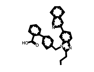 CCCc1nc2ccc(-c3cc4ccccc4cn3)cc2n1Cc1ccc(-c2ccccc2C(=O)O)cc1